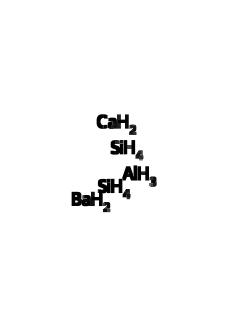 [AlH3].[BaH2].[CaH2].[SiH4].[SiH4]